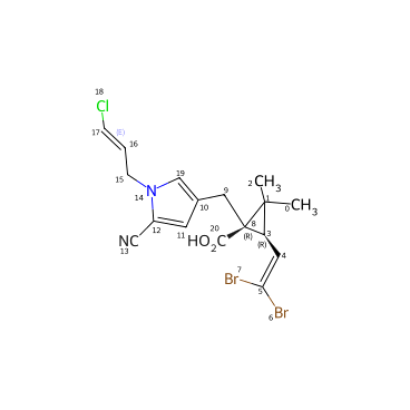 CC1(C)[C@@H](C=C(Br)Br)[C@@]1(Cc1cc(C#N)n(C/C=C/Cl)c1)C(=O)O